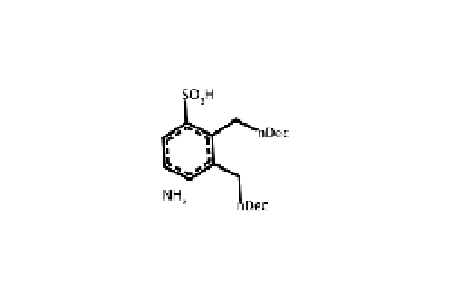 CCCCCCCCCCCc1cccc(S(=O)(=O)O)c1CCCCCCCCCCC.N